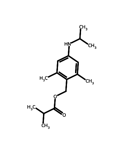 Cc1cc(NC(C)C)cc(C)c1COC(=O)C(C)C